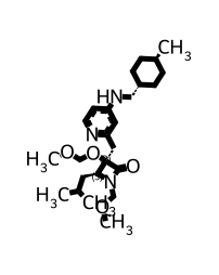 COCO[C@@]1(Cc2cc(NC[C@H]3CC[C@H](C)CC3)ccn2)C(=O)N(COC)[C@H]1CC(C)C